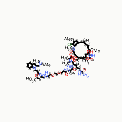 CNN(C)Cc1cc2ccccc2n1CCC(=O)N[C@@H](CCC(=O)O)CNCCOCCOCCC(=O)NC(C(=O)NC(CCCNC(N)=O)C(=O)N(C)[C@@H](C)C(=O)O[C@H]1CC(=O)N(C)c2cc(cc(OC)c2Cl)C/C(C)=C/C=C/[C@@H](OC)[C@@]2(O)C[C@H](OC(=O)N2)[C@@H](C)CC1(C)O)C(C)C